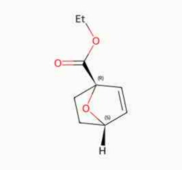 CCOC(=O)[C@]12C=C[C@H](CC1)O2